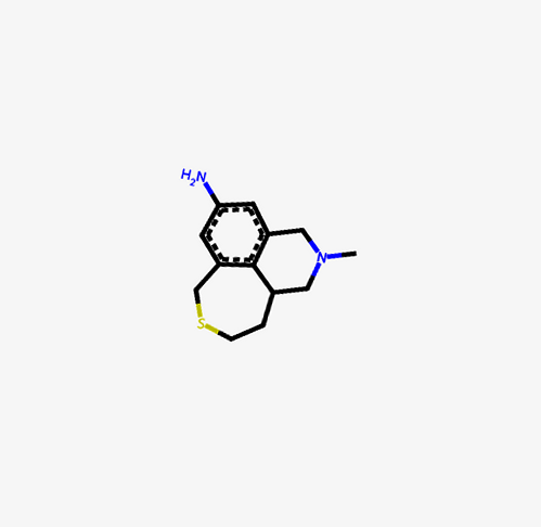 CN1Cc2cc(N)cc3c2C(CCSC3)C1